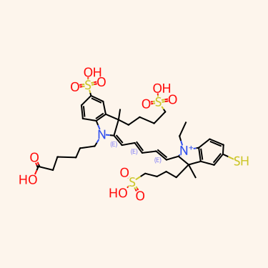 CC[N+]1=C(/C=C/C=C/C=C2/N(CCCCCC(=O)O)c3ccc(S(=O)(=O)O)cc3C2(C)CCCCS(=O)(=O)O)C(C)(CCCCS(=O)(=O)O)c2cc(S)ccc21